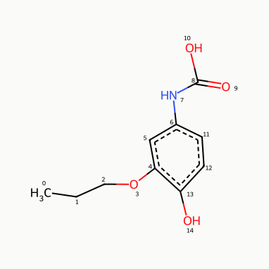 CCCOc1cc(NC(=O)O)ccc1O